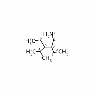 CCC(CN)C(CC)C(C)C